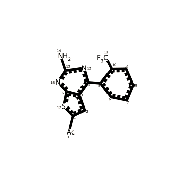 CC(=O)c1cc2c(-c3ccccc3C(F)(F)F)nc(N)nc2s1